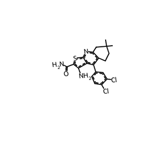 CC1(C)CCc2c(nc3sc(C(N)=O)c(N)c3c2-c2ccc(Cl)c(Cl)c2)C1